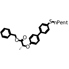 CCCCCSc1ccc(-c2ccc(O[C@H](C)C(=O)OCc3ccccc3)cc2)cc1